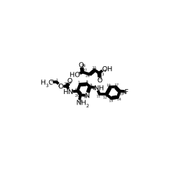 CCOC(=O)Nc1ccc(NCc2ccc(F)cc2)nc1N.O=C(O)C=CC(=O)O